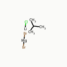 C[C](C)C.[Br][Mg][Br].[Li][Cl]